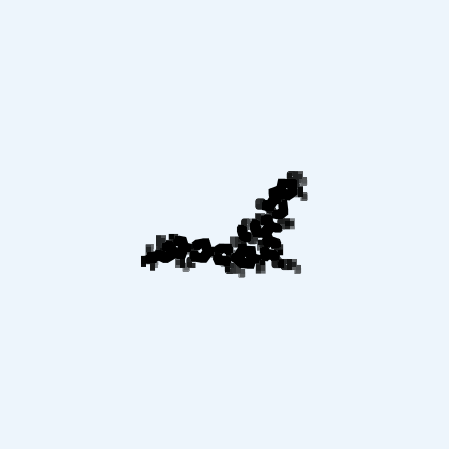 C=CC(=O)Nc1cc(Nc2nc(-c3ccnc(N4CCn5c(cc6c5CC(C)(C)C6)C4=O)c3CO)cnc2OC)ccc1N1CCN(C2CCN(c3cnc4[nH]c(C(F)(F)F)cc4c3)[C@@H](C)C2)C[C@@H]1C